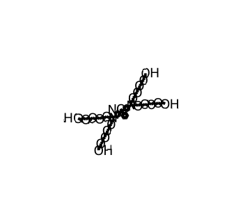 N#CC(c1ccccc1)(c1ccc(N(CCOCCOCCOCCOCCO)CCOCCOCCOCCOCCO)cc1)c1ccc(N(CCOCCOCCOCCOCCO)CCOCCOCCOCCOCCO)cc1